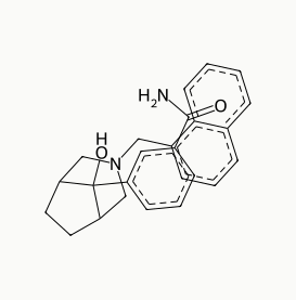 NC(=O)c1cccc(C2(O)C3CCC2CN(Cc2cccc4ccccc24)C3)c1